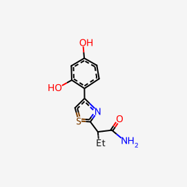 CCC(C(N)=O)c1nc(-c2ccc(O)cc2O)cs1